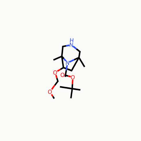 COCOC1CC2(C)CNCC1(C)N2C(=O)OC(C)(C)C